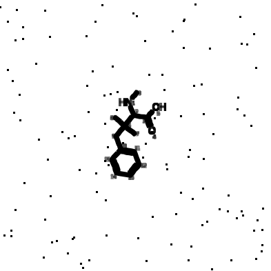 CNC(C(=O)O)C(C)(C)Cc1ccccc1